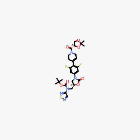 CC(C)(C)OC(=O)N(C[C@H]1CN(c2cc(F)c(C3=CCN(C(=O)[C@@H]4COC(C)(C)O4)CC3)c(F)c2)C(=O)O1)c1cnsn1